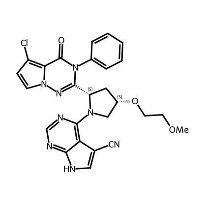 COCCO[C@H]1C[C@@H](c2nn3ccc(Cl)c3c(=O)n2-c2ccccc2)N(c2ncnc3[nH]cc(C#N)c23)C1